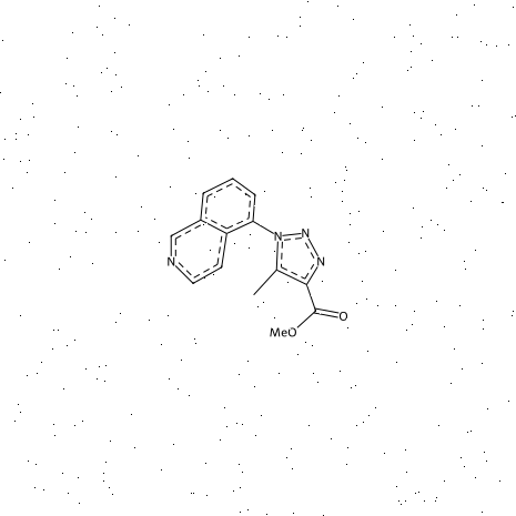 COC(=O)c1nnn(-c2cccc3cnccc23)c1C